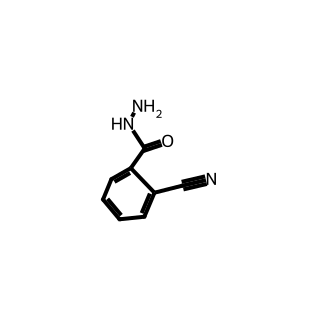 N#Cc1ccccc1C(=O)NN